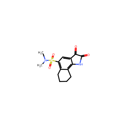 CN(C)S(=O)(=O)c1cc2c(c3c1CCCC3)NC(=O)C2=O